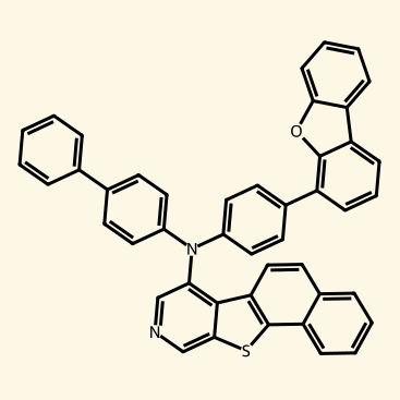 c1ccc(-c2ccc(N(c3ccc(-c4cccc5c4oc4ccccc45)cc3)c3cncc4sc5c6ccccc6ccc5c34)cc2)cc1